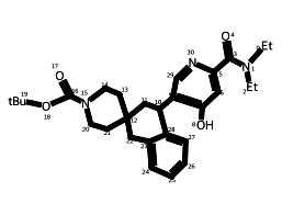 CCN(CC)C(=O)c1cc(O)c(C2CC3(CCN(C(=O)OC(C)(C)C)CC3)Cc3ccccc32)cn1